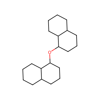 C1CCC2C(C1)CCCC2OC1CCCC2CCCCC21